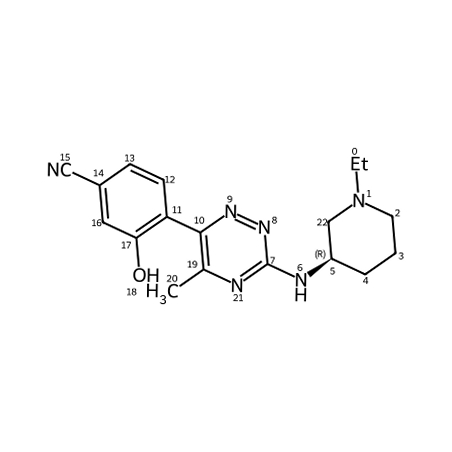 CCN1CCC[C@@H](Nc2nnc(-c3ccc(C#N)cc3O)c(C)n2)C1